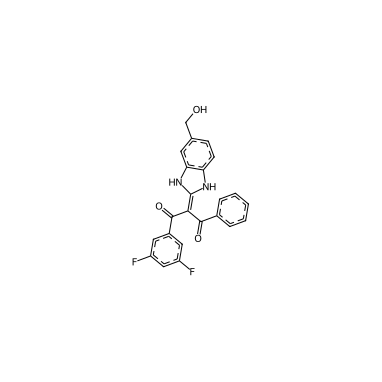 O=C(/C(C(=O)c1cc(F)cc(F)c1)=C1\Nc2ccc(CO)cc2N1)c1ccccc1